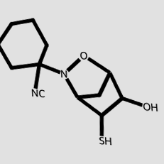 [C-]#[N+]C1(N2OC3CC2C(S)C3O)CCCCC1